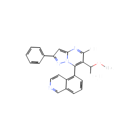 Cc1nc2cc(-c3ccccc3)nn2c(-c2cccc3cnccc23)c1C(OC(C)(C)C)C(=O)O